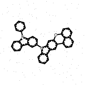 c1ccc(-n2c3ccccc3c3cc(-n4c5ccccc5c5cc6c(cc54)Oc4cccc5cccc-6c45)ccc32)cc1